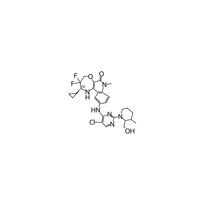 CC1CCCN(c2ncc(Cl)c(Nc3ccc4c(c3)c3c(c(=O)n4C)OCC(F)(F)[C@H](C4CC4)N3)n2)C1CO